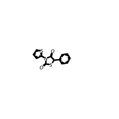 O=C1SC(c2ccccc2)C(=O)N1c1cccs1